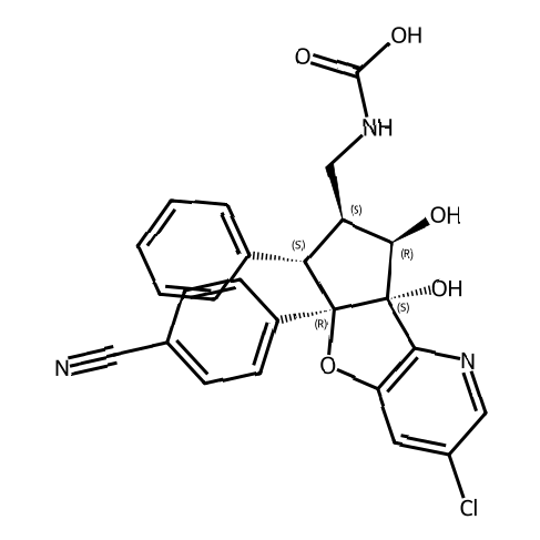 N#Cc1ccc([C@@]23Oc4cc(Cl)cnc4[C@]2(O)[C@H](O)[C@H](CNC(=O)O)[C@H]3c2ccccc2)cc1